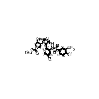 CO[C@H]1CN(C(=O)OC(C)(C)C)C[C@@H]1n1cnnc1-c1ncc(Cl)cc1NS(=O)(=O)c1ccc(Cl)c(C(F)(F)F)c1